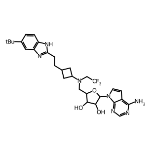 CC(C)(C)c1ccc2[nH]c(CCC3CC(N(CC4OC(n5ccc6c(N)ncnc65)C(O)C4O)CC(F)(F)F)C3)nc2c1